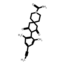 CC#Cc1cc(C)c(C2C(=O)CC3(CCN(C(N)=O)CC3)CC2=O)c(C)c1